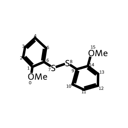 COc1ccccc1SSc1ccccc1OC